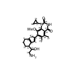 COc1c(-c2cc3c(s2)CCCC3C(O)CN)c(F)c(C)c2c(=O)[nH]c(=O)n(C3CC3)c12